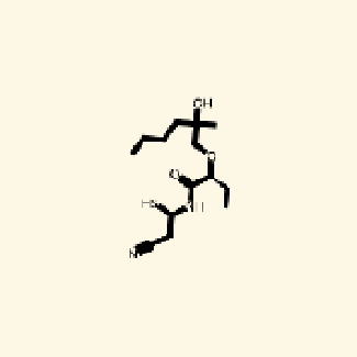 CCCCC(C)(O)CO[C@@H](CC)C(=O)NC(S)CC#N